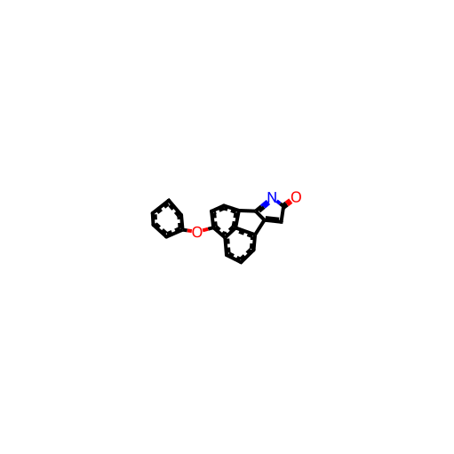 O=C1C=C2C(=N1)c1ccc(Oc3ccccc3)c3cccc2c13